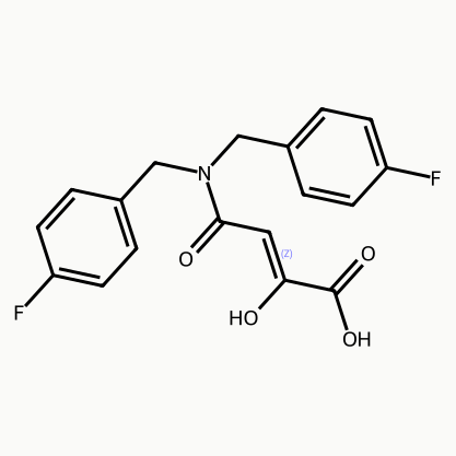 O=C(O)/C(O)=C/C(=O)N(Cc1ccc(F)cc1)Cc1ccc(F)cc1